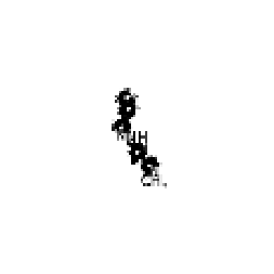 Cc1cc(-c2ncc(CNc3cc(-c4ccc5ncccc5c4)ccn3)cc2F)ccn1